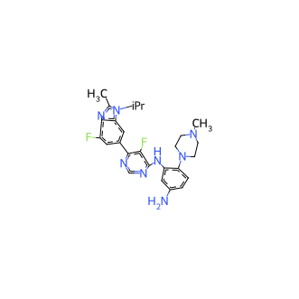 Cc1nc2c(F)cc(-c3ncnc(Nc4cc(N)ccc4N4CCN(C)CC4)c3F)cc2n1C(C)C